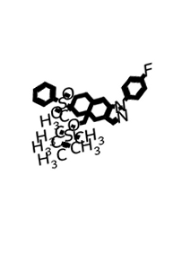 CC(C)(C)[Si](C)(C)OCC12Cc3cnn(-c4ccc(F)cc4)c3C=C1CCC(C)(S(=O)(=O)c1ccccc1)C2